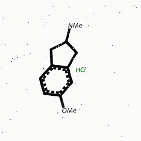 CNC1Cc2ccc(OC)cc2C1.Cl